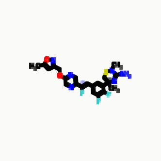 Cc1cc(COc2cnc(/C(F)=C/c3cc(F)c(F)c([C@]4(C)CSN(C)C(N)=N4)c3)cn2)no1